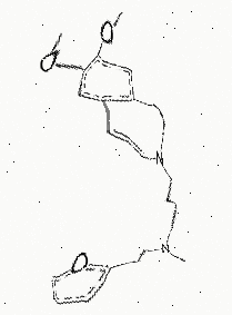 COc1cc2c(cc1OC)CCN(CCCN(C)CCc1ccco1)C=C2